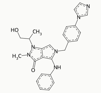 CC(CO)n1c2cn(Cc3ccc(-n4ccnc4)cc3)c(Nc3ccccc3)c2c(=O)n1C